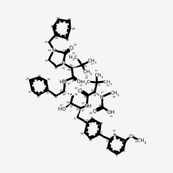 COc1cccc(-c2ccc(C[C@H](NC(=O)[C@@H](N(C)C(=O)O)C(C)(C)C)[C@@H](O)C[C@H](Cc3ccccc3)NC(=O)[C@@H](N3CCN(Cc4ccccc4)C3=O)C(C)(C)C)cc2)n1